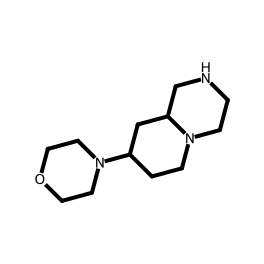 C1CN2CCC(N3CCOCC3)CC2CN1